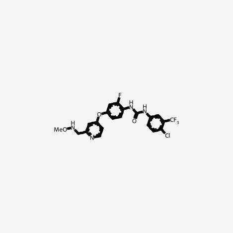 CONCc1cc(Oc2ccc(NC(=O)Nc3ccc(Cl)c(C(F)(F)F)c3)c(F)c2)ccn1